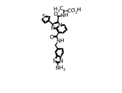 C[C@H](NC(=O)c1c(-c2ccsc2)nc2c(C(=O)NCc3ccc4nc(N)sc4c3)cccn12)C(=O)O